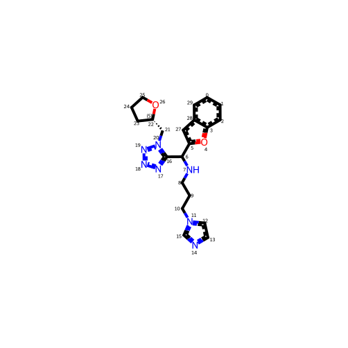 c1ccc2oc(C(NCCCn3ccnc3)c3nnnn3C[C@@H]3CCCO3)cc2c1